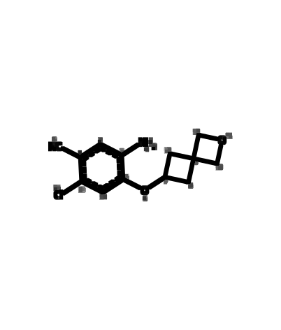 N#Cc1cc(N)c(OC2CC3(COC3)C2)cc1Cl